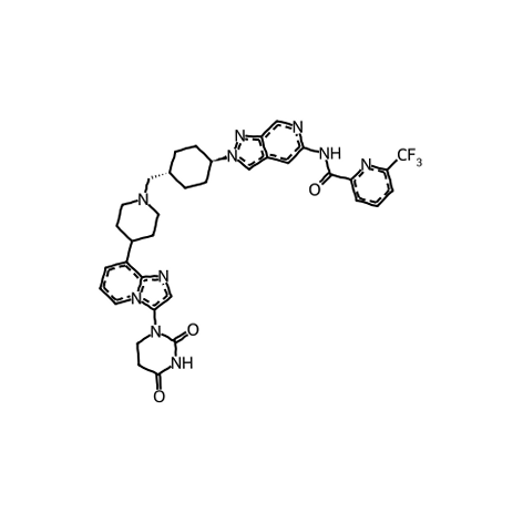 O=C1CCN(c2cnc3c(C4CCN(C[C@H]5CC[C@H](n6cc7cc(NC(=O)c8cccc(C(F)(F)F)n8)ncc7n6)CC5)CC4)cccn23)C(=O)N1